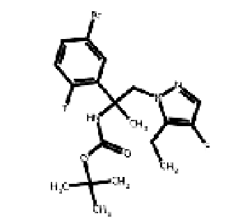 CCc1c(F)cnn1CC(C)(NC(=O)OC(C)(C)C)c1cc(Br)ccc1F